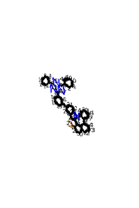 c1ccc(-c2nc(-c3ccccc3)nc(-c3cccc(-c4ccc5c(c4)c4sc6ccc7cccc8c9ccccc9n5c4c6c78)c3)n2)cc1